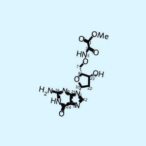 COC(=O)C(=O)NOC[C@H]1O[C@@H](n2cnc3c(=O)[nH]c(N)nc32)C[C@@H]1O